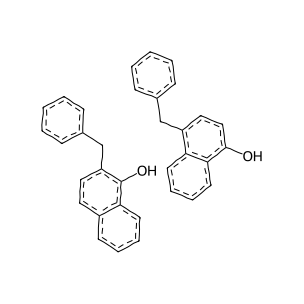 Oc1c(Cc2ccccc2)ccc2ccccc12.Oc1ccc(Cc2ccccc2)c2ccccc12